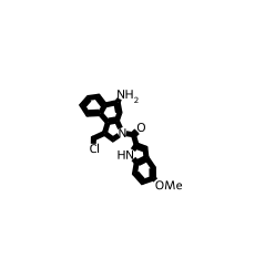 COc1ccc2[nH]c(C(=O)N3CC(CCl)c4c3cc(N)c3ccccc43)cc2c1